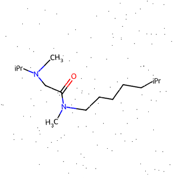 CC(C)CCCCCN(C)C(=O)CN(C)C(C)C